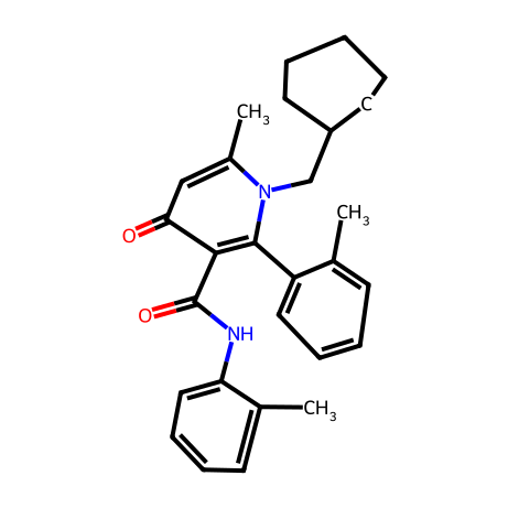 Cc1ccccc1NC(=O)c1c(-c2ccccc2C)n(CC2CCCCC2)c(C)cc1=O